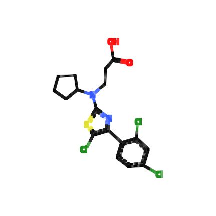 O=C(O)CCN(c1nc(-c2ccc(Cl)cc2Cl)c(Cl)s1)C1CCCC1